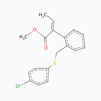 CC=C(C(=O)OC)c1ccccc1CSc1ccc(Cl)cc1